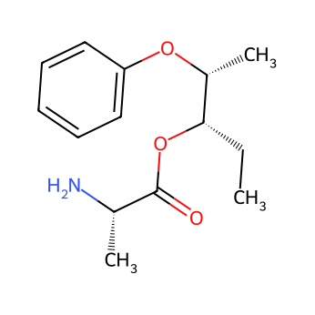 CC[C@H](OC(=O)[C@H](C)N)[C@@H](C)Oc1ccccc1